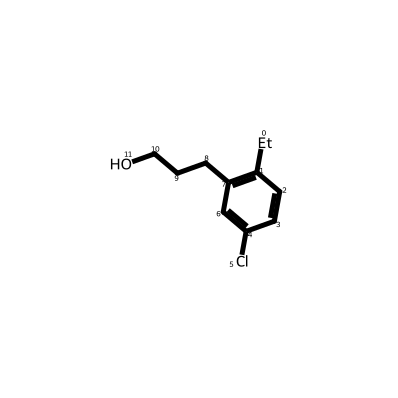 CCc1ccc(Cl)cc1CCCO